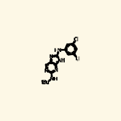 CC(C)(C)Nc1ncc2nc(Nc3cc(Cl)cc(Cl)c3)[nH]c2n1